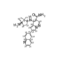 CC1(C)[C@H](Nc2c(C(N)=O)cnn3cc(-c4ccc5ncccc5c4)cc23)CC[C@]1(C)N